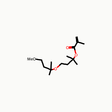 C=C(C)C(=O)OC(C)(C)CCOC(C)(C)CCOC